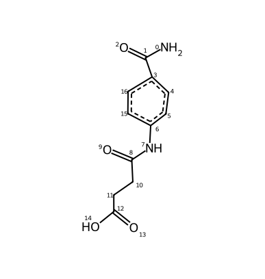 NC(=O)c1ccc(NC(=O)CCC(=O)O)cc1